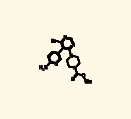 CCc1ncnc(N2CCN(C(=O)OC(C)(C)C)CC2)c1-c1ccc(N)nc1